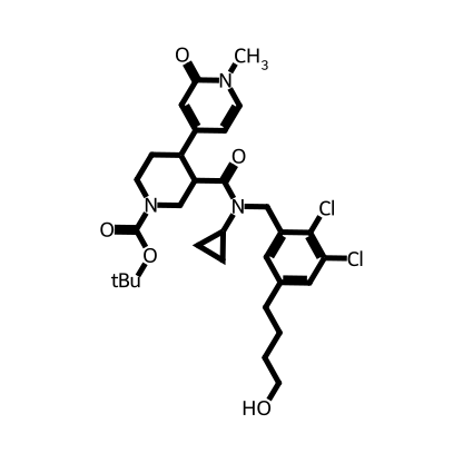 Cn1ccc(C2CCN(C(=O)OC(C)(C)C)CC2C(=O)N(Cc2cc(CCCCO)cc(Cl)c2Cl)C2CC2)cc1=O